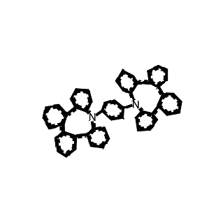 c1ccc2c(c1)c1ccccc1c1ccccc1n(-c1ccc(-n3c4ccccc4c4ccccc4c4ccccc4c4ccccc43)cc1)c1ccccc21